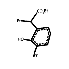 CCOC(=O)C(CC)c1cccc(C(C)C)c1O